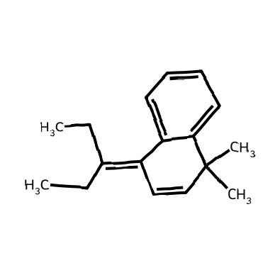 CCC(CC)=C1C=CC(C)(C)c2ccccc21